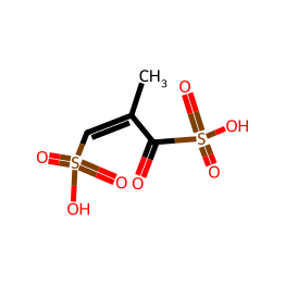 CC(=CS(=O)(=O)O)C(=O)S(=O)(=O)O